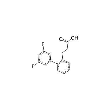 O=C(O)CCc1ccccc1-c1cc(F)cc(F)c1